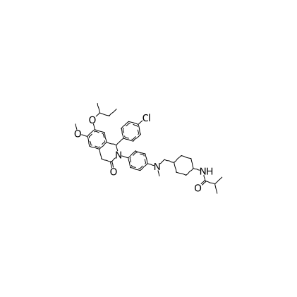 CCC(C)Oc1cc2c(cc1OC)CC(=O)N(c1ccc(N(C)CC3CCC(NC(=O)C(C)C)CC3)cc1)C2c1ccc(Cl)cc1